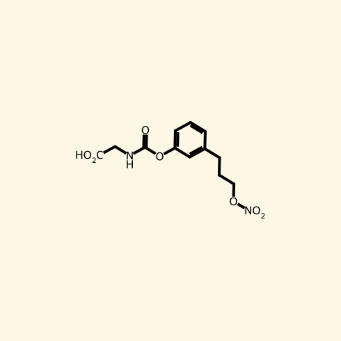 O=C(O)CNC(=O)Oc1cccc(CCCO[N+](=O)[O-])c1